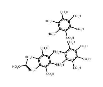 C=C(C)C(=O)O.O=C(O)c1c(C(=O)O)c(C(=O)O)c(C(=O)O)c(C(=O)O)c1C(=O)O.O=C(O)c1c(C(=O)O)c(C(=O)O)c(C(=O)O)c(C(=O)O)c1C(=O)O.O=C(O)c1c(C(=O)O)c(C(=O)O)c(C(=O)O)c(C(=O)O)c1C(=O)O